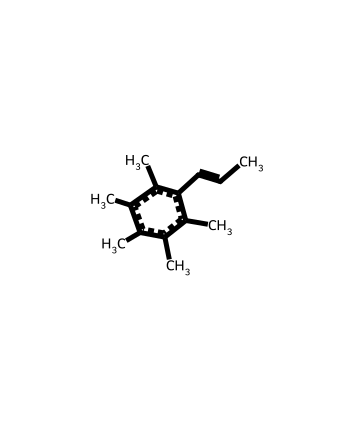 CC=Cc1c(C)c(C)c(C)c(C)c1C